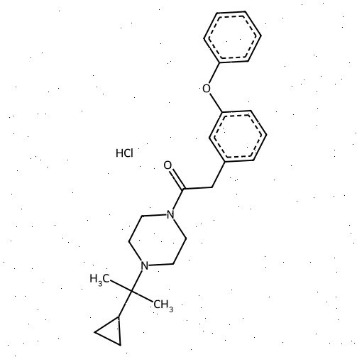 CC(C)(C1CC1)N1CCN(C(=O)Cc2cccc(Oc3ccccc3)c2)CC1.Cl